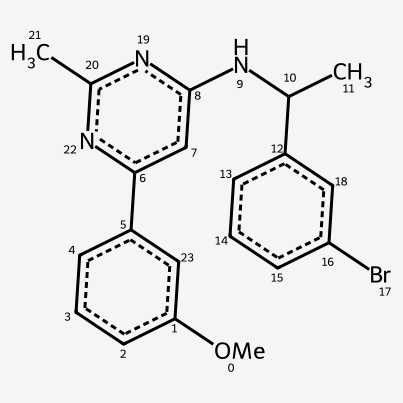 COc1cccc(-c2cc(NC(C)c3cccc(Br)c3)nc(C)n2)c1